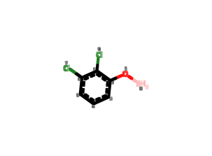 BOc1cccc(Cl)c1Cl